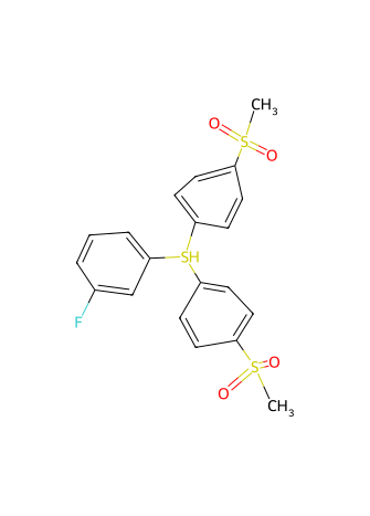 CS(=O)(=O)c1ccc([SH](c2ccc(S(C)(=O)=O)cc2)c2cccc(F)c2)cc1